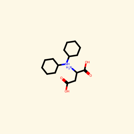 C1CCC(NC2CCCCC2)CC1.NC(CC(=O)O)C(=O)O